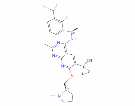 Cc1nc(N[C@H](C)c2cccc(C(F)F)c2F)c2cc(C3(C#N)CC3)c(OC[C@H]3CCCN3C)nc2n1